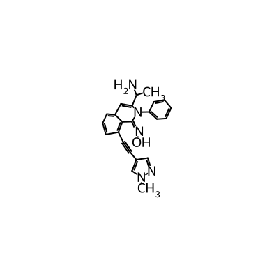 CC(N)c1cc2cccc(C#Cc3cnn(C)c3)c2/c(=N\O)n1-c1ccccc1